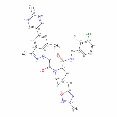 CC(=O)c1nn(CC(=O)N2C3C[C@]3(Cc3nc(C)no3)C[C@H]2C(=O)NCc2cccc(Cl)c2F)c2c(C)cc(-c3cnc(C)nc3)cc12